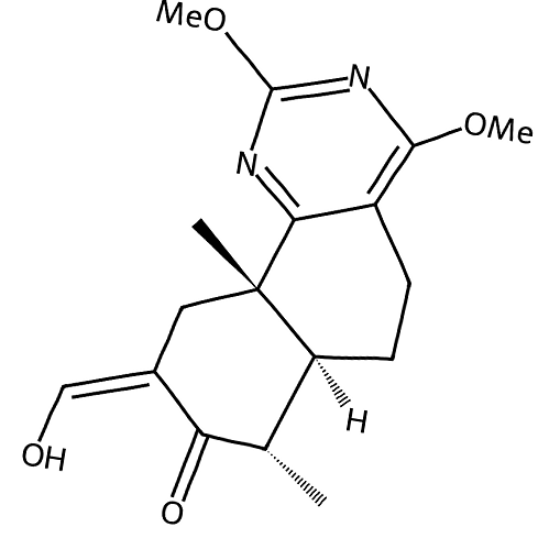 COc1nc(OC)c2c(n1)[C@@]1(C)C/C(=C/O)C(=O)[C@@H](C)[C@@H]1CC2